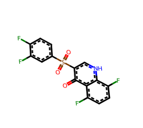 O=c1c(S(=O)(=O)c2ccc(F)c(F)c2)c[nH]c2c(F)ccc(F)c12